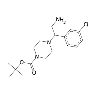 CC(C)(C)OC(=O)N1CCN(C(CN)c2cccc(Cl)c2)CC1